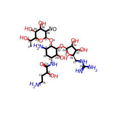 C[C@@H](O)C1O[C@H](O[C@@H]2C(N)C[C@@H](NC(=O)C(O)CCN)C(O)C2O[C@@H]2O[C@H](CNC(=N)N)C(O)C2O)C(N=O)C(O)[C@@H]1O